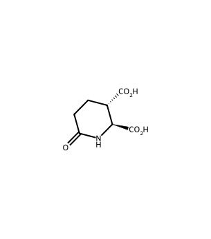 O=C1CC[C@H](C(=O)O)[C@@H](C(=O)O)N1